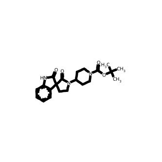 CC(C)(C)OC(=O)N1CCC(N2CCC3(C(=O)Nc4ccccc43)C2=O)CC1